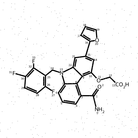 NC(=O)c1cccc2c1c1c(OCC(=O)O)cc(-c3ccco3)cc1n2Cc1c(F)ccc(F)c1F